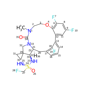 CN1CCOc2c(F)cc(F)cc2-c2cccc(c2F)C[C@H]2[C@@H](NS(=N)(=O)CF)C3(CC3)CN2C1=O